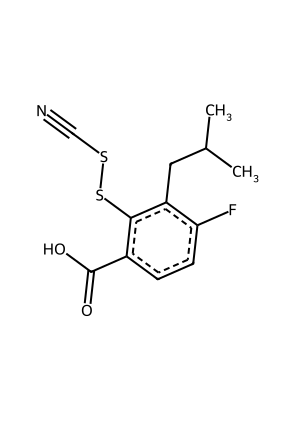 CC(C)Cc1c(F)ccc(C(=O)O)c1SSC#N